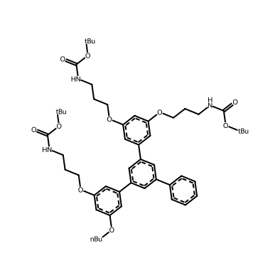 CCCCOc1cc(OCCCNC(=O)OC(C)(C)C)cc(-c2cc(-c3ccccc3)cc(-c3cc(OCCCNC(=O)OC(C)(C)C)cc(OCCCNC(=O)OC(C)(C)C)c3)c2)c1